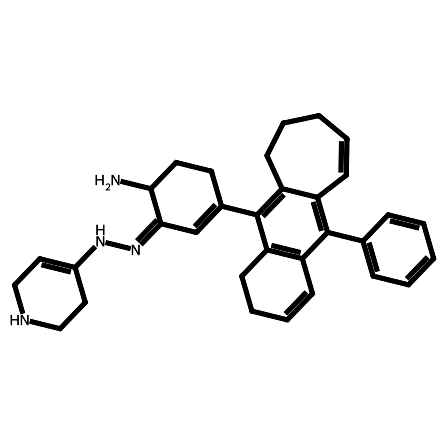 NC1CCC(c2c3c(c(-c4ccccc4)c4c2CCCC=C4)C=CCC3)=C/C1=N/NC1=CCNCC1